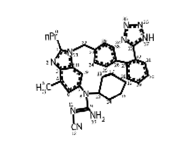 CCCc1nc2c(C)cc(N(C(N)=NC#N)C3CCCCC3)cc2n1Cc1ccc(-c2ccccc2-c2nnn[nH]2)cc1